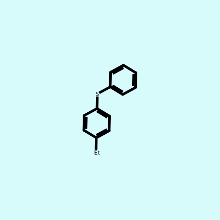 CCc1ccc(Sc2ccccc2)cc1